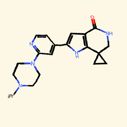 CC(C)N1CCN(c2cc(-c3cc4c([nH]3)C3(CC3)CNC4=O)ccn2)CC1